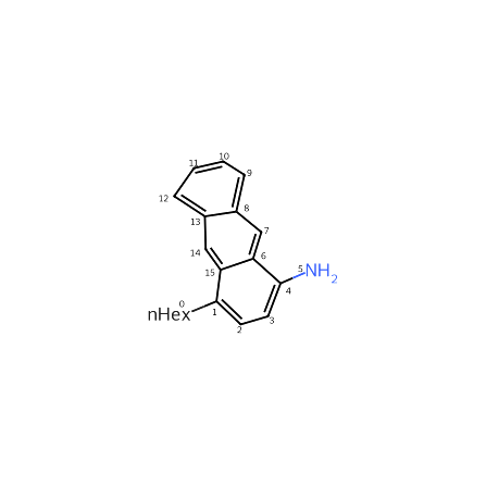 CCCCCCc1ccc(N)c2cc3ccccc3cc12